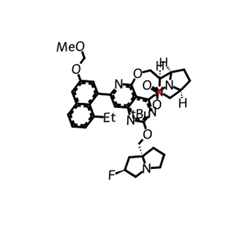 CCc1cccc2cc(OCOC)cc(-c3cc4nc(OC[C@]56CCCN5C[C@@H](F)C6)nc5c4c(n3)OC[C@H]3[C@H]4CC[C@@H](CN53)N4C(=O)OC(C)(C)C)c12